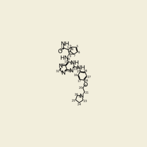 NC(=O)C1C2C=CC(C2)C1Nc1[nH]c(Nc2ccc(OCCN3CCCC3)cc2)nc2ncnc1-2